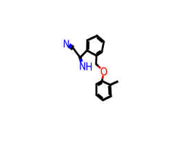 Cc1ccccc1OCc1ccccc1C(=N)C#N